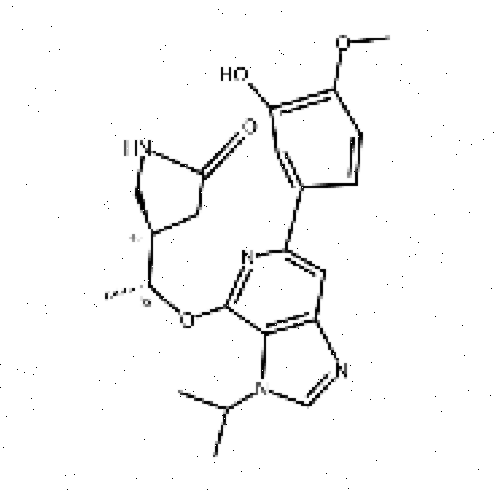 COc1ccc(-c2cc3ncn(C(C)C)c3c(O[C@H](C)[C@H]3CNC(=O)C3)n2)cc1O